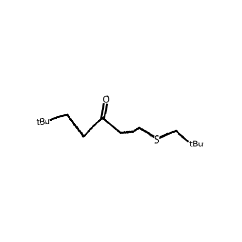 CC(C)(C)CCC(=O)CCSCC(C)(C)C